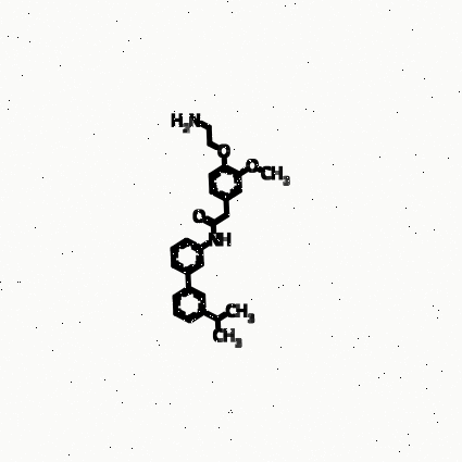 COc1cc(CC(=O)Nc2cccc(-c3cccc(C(C)C)c3)c2)ccc1OCCN